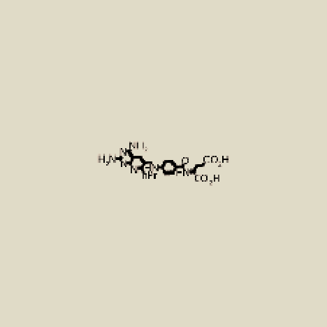 CCCc1nc2nc(N)nc(N)c2cc1CNc1ccc(C(=O)N[C@@H](CCC(=O)O)C(=O)O)cc1